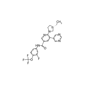 CC[C@H]1CCN(c2ncc(C(=O)Nc3ccc(OC(F)(F)F)c(F)c3)cc2-c2cncnc2)C1